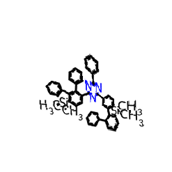 C[Si]1(C)c2ccc(-c3nc(-c4ccccc4)nc(-c4ccc5c(c4-c4ccccc4)-c4ccccc4[Si]5(C)C)n3)cc2-c2c(-c3ccccc3)cccc21